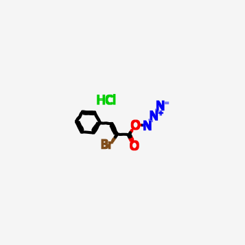 Cl.[N-]=[N+]=NOC(=O)C(Br)=Cc1ccccc1